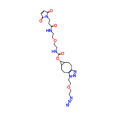 [N-]=[N+]=NCCOCCn1nnc2c1CCC1C(CC2)C1OC(=O)NCCOCCNC(=O)CCN1C(=O)C=CC1=O